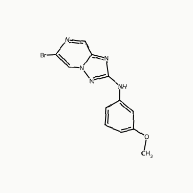 COc1cccc(Nc2nc3cnc(Br)cn3n2)c1